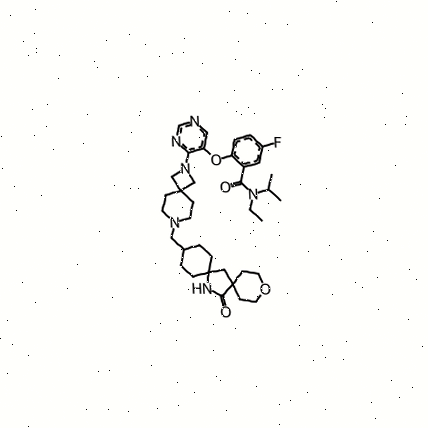 CCN(C(=O)c1cc(F)ccc1Oc1cncnc1N1CC2(CCN(CC3CCC4(CC3)CC3(CCOCC3)C(=O)N4)CC2)C1)C(C)C